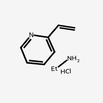 C=Cc1ccccn1.CCN.Cl